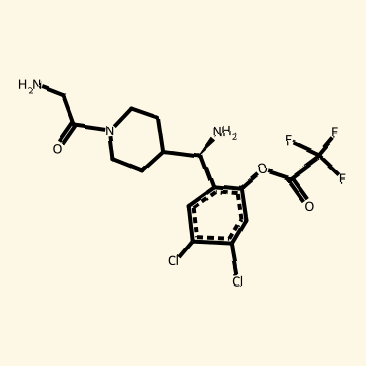 NCC(=O)N1CCC([C@@H](N)c2cc(Cl)c(Cl)cc2OC(=O)C(F)(F)F)CC1